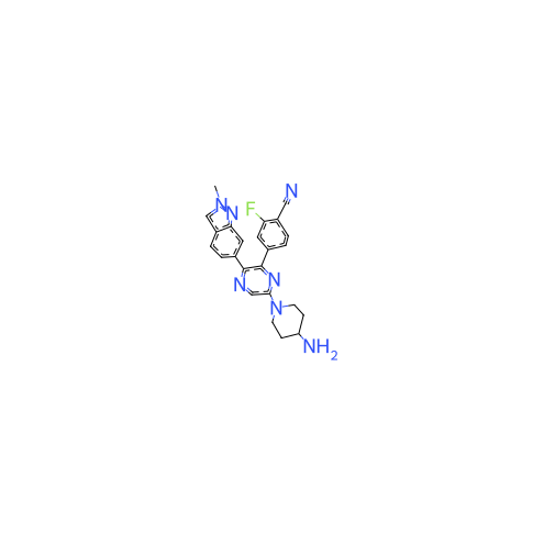 Cn1cc2ccc(-c3ncc(N4CCC(N)CC4)nc3-c3ccc(C#N)c(F)c3)cc2n1